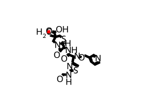 C=CC1(C(=O)O)CS[C@@H]2C(NC(=O)C(=NOCc3cccnc3)c3csc(NC=O)n3)C(=O)N2C1